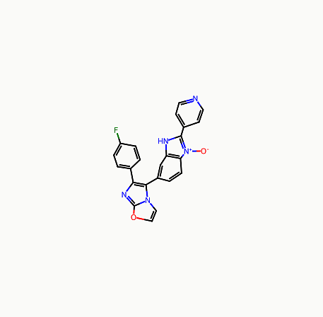 [O-][n+]1c(-c2ccncc2)[nH]c2cc(-c3c(-c4ccc(F)cc4)nc4occn34)ccc21